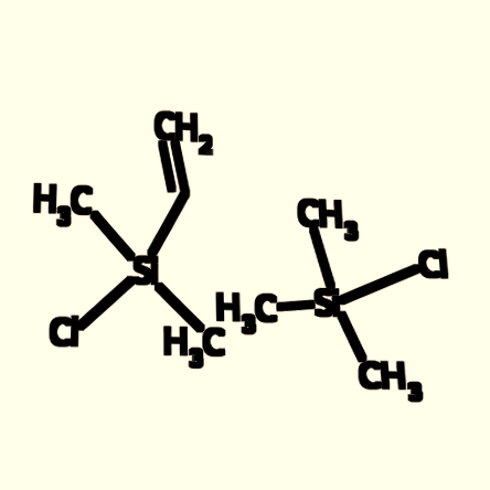 C=C[Si](C)(C)Cl.C[Si](C)(C)Cl